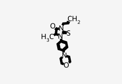 C=CCN1C(=O)C(C)N(c2ccc(N3CCOCC3)cc2)C1=S